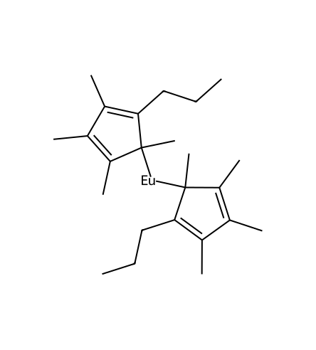 CCCC1=C(C)C(C)=C(C)[C]1(C)[Eu][C]1(C)C(C)=C(C)C(C)=C1CCC